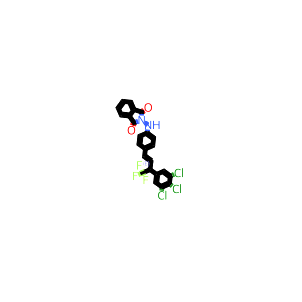 O=C1c2ccccc2C(=O)N1Nc1ccc(/C=C/C(c2cc(Cl)c(Cl)c(Cl)c2)C(F)(F)F)cc1